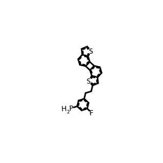 Fc1cc(P)cc(CCc2cc3ccc4c(c3s2)-c2ccc3ccsc3c2-4)c1